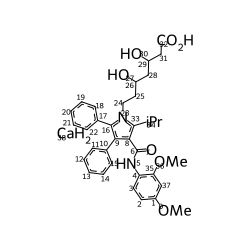 COc1ccc(NC(=O)c2c(-c3ccccc3)c(-c3ccccc3)n(CCC(O)CC(O)CC(=O)O)c2C(C)C)c(OC)c1.[CaH2]